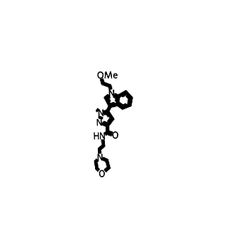 COCCn1cc(-c2cc(C(=O)NCCN3CCOCC3)nn2C)c2ccccc21